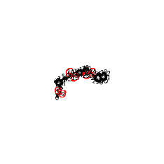 C=CC(=O)OCc1cccc(/C=C/C(=O)OC2CC3C(/C=C\C(=O)OCc4ccc5ccccc5c4)CC2C3(C)C)c1